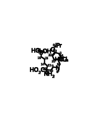 CC(C)Oc1ccc(CN(C)CCC(N)(CCCCB(O)O)C(=O)O)cc1.Cl.Cl